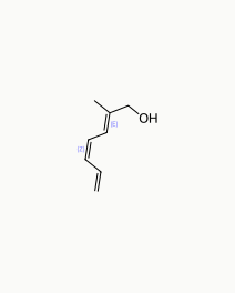 C=C/C=C\C=C(/C)CO